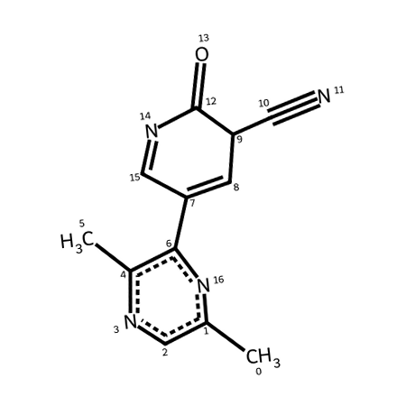 Cc1cnc(C)c(C2=CC(C#N)C(=O)N=C2)n1